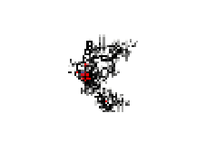 CCN(C(=O)OCc1ccc(NC(=O)[C@H](CCCNC(N)=O)NC(=O)[C@@H](NC(=O)[C@H](CCCCNC(=O)OCC2c3ccccc3-c3ccccc32)NC(C)=O)C(C)C)cc1)[C@H]1CO[C@@H](O[C@H]2[C@H](O[C@H]3C#CC=CC#C[C@]4(O)CC(=O)C(NC(=O)OC)=C3/C4=C\CSSc3ccccn3)O[C@H](C)[C@@H](NO[C@H]3C[C@H](O)[C@H]([SH]=C(O)c4c(C)c(I)c(O[C@@H]5O[C@@H](C)[C@H](O)[C@@H](OC)[C@H]5O)c(OC)c4OC)[C@@H](C)O3)[C@@H]2O)C[C@@H]1OC